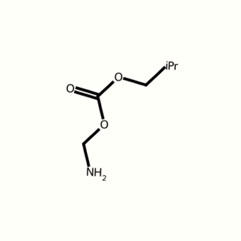 CC(C)COC(=O)OCN